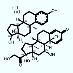 C[C@]12C=CC(=O)C=C1CC[C@@H]1[C@@H]2[C@@H](O)C[C@@]2(C)[C@H]1CC[C@]2(O)C(=O)CO.C[C@]12CC[C@@H]3c4ccc(O)cc4CC[C@H]3[C@@H]1CC[C@@H]2O.Cl.Cl